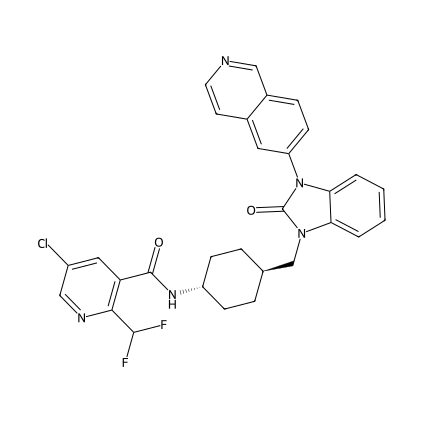 O=C(N[C@H]1CC[C@H](Cn2c(=O)n(-c3ccc4cnccc4c3)c3ccccc32)CC1)c1cc(Cl)cnc1C(F)F